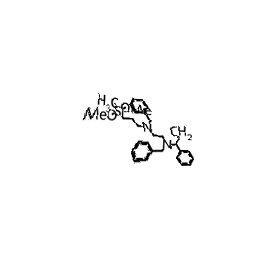 C=CC(c1ccccc1)N(CCN(CCC[Si](C)(OC)OC)Cc1ccccc1)Cc1ccccc1